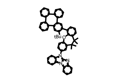 CC(C)(C)c1cc2c(cc1-c1cccc3c1Oc1ccc(-n4c5ccccc5n5c6ccccc6nc45)cc1C(C)(C)C3(C)C)-c1ccccc1-c1ccccc1-c1ccccc1-2